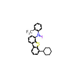 FC(F)(F)c1ccccc1N(I)c1cccc2c1sc1c(C3CCCCC3)cccc12